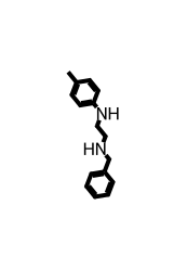 Cc1ccc(NCCNCc2ccccc2)cc1